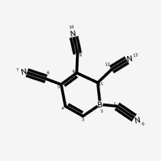 N#CB1C=CC(C#N)=C(C#N)C1C#N